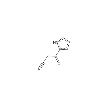 N#CCC(=O)c1ccc[nH]1